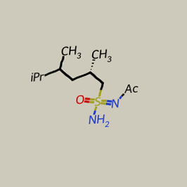 CC(=O)N=S(N)(=O)C[C@@H](C)CC(C)C(C)C